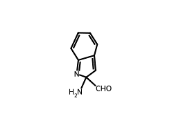 NC1(C=O)C=c2ccccc2=N1